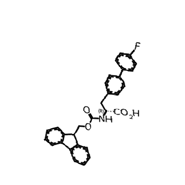 O=C(N[C@H](Cc1ccc(-c2ccc(F)cc2)cc1)C(=O)O)OCC1c2ccccc2-c2ccccc21